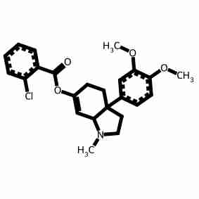 COc1ccc(C23CCC(OC(=O)c4ccccc4Cl)=CC2N(C)CC3)cc1OC